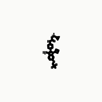 C[C@@H](OC(=O)Nc1ccc(-c2c(N)c3ccc(OCS(C)(=O)=O)cc3n2C2CCC2)cc1)C1CC1